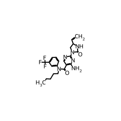 C=CC1CN(c2ncc(C(=O)N(CCCCC)c3cccc(C(F)(F)F)c3)c(N)n2)C(=O)N1